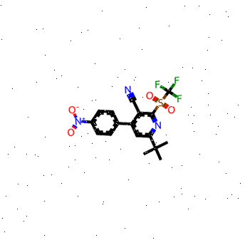 CC(C)(C)c1cc(-c2ccc([N+](=O)[O-])cc2)c(C#N)c(S(=O)(=O)C(F)(F)F)n1